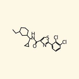 CCC1CCCC(C(NC(=O)c2csc(-c3cccc(Cl)c3Cl)n2)C2CC2)C1